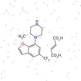 C[C@@H]1CNCCN1c1cc(C(F)(F)F)cc2ccoc12.O=C(O)C=CC(=O)O